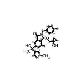 Cn1cc(C(C)(O)c2cc(F)c3c(c2)C(=O)N(Cc2ccc(F)cn2)[C@@H]3OCC2(O)CC2)cn1